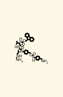 CC(C)[C@H](NC(=O)OCC1c2ccccc2-c2ccccc21)C(=O)N[C@@H](CCCNCN)C(=O)Nc1ccc(COC(=O)Nc2ccc(CN)cc2)cc1